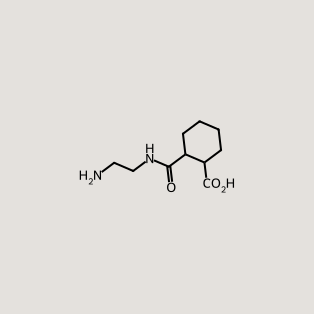 NCCNC(=O)C1CCCCC1C(=O)O